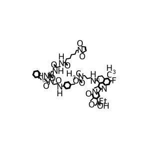 CC[C@@]1(O)COCc2c1cc1n(c2=O)Cc2c-1nc1cc(F)c(C)c3c1c2[C@@H](NCCCN(C)C(=O)OCc1ccc(NC(=O)CNC(=O)[C@H](Cc2ccccc2)NC(=O)CNC(=O)CNC(=O)CCCCCN2C(=O)C=CC2=O)cc1)CC3